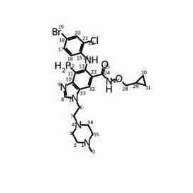 CN1CCN(CCn2cnc3c(P)c(Nc4ccc(Br)cc4Cl)c(C(=O)NOCC4CC4)cc32)CC1